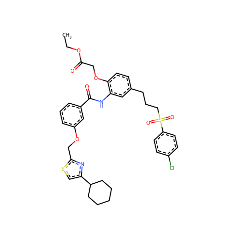 CCOC(=O)COc1ccc(CCCS(=O)(=O)c2ccc(Cl)cc2)cc1NC(=O)c1cccc(OCc2nc(C3CCCCC3)cs2)c1